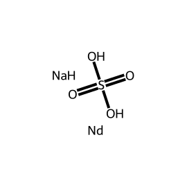 O=S(=O)(O)O.[NaH].[Nd]